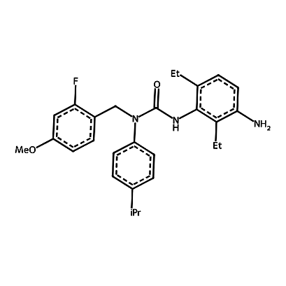 CCc1ccc(N)c(CC)c1NC(=O)N(Cc1ccc(OC)cc1F)c1ccc(C(C)C)cc1